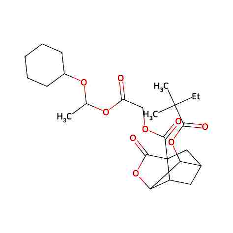 CCC(C)(C)C(=O)OC1C2CC3C1OC(=O)C3(C(=O)OCC(=O)OC(C)OC1CCCCC1)C2